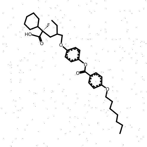 CCCCCCCOc1ccc(C(=O)Oc2ccc(OCC(CC)C[C@@](F)(C(=O)O)C3CCCCC3)cc2)cc1